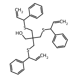 C=CC(SCC(CO)(CSC(C=C)c1ccccc1)CSC(C=C)c1ccccc1)c1ccccc1